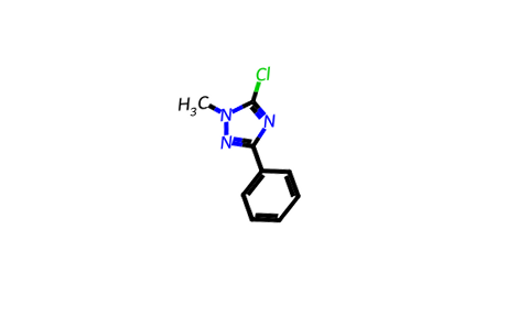 Cn1nc(-c2ccccc2)nc1Cl